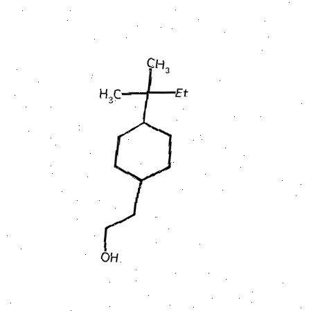 CCC(C)(C)C1CCC(CCO)CC1